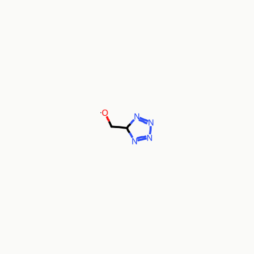 [O]CC1N=NN=N1